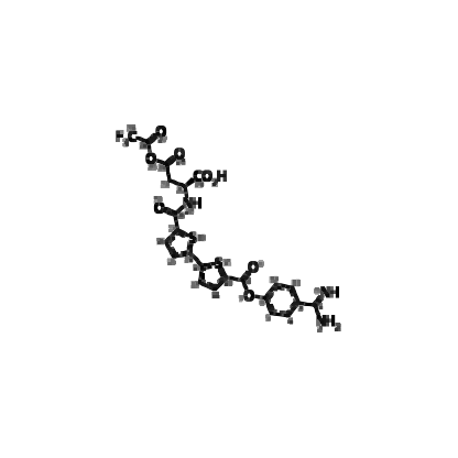 N=C(N)c1ccc(OC(=O)c2ccc(-c3ccc(C(=O)N[C@@H](CC(=O)OC(=O)C(F)(F)F)C(=O)O)s3)s2)cc1